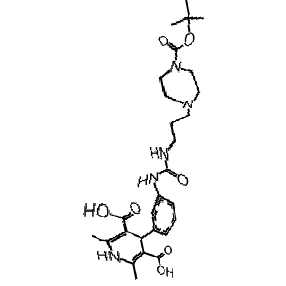 CC1=C(C(=O)O)C(c2cccc(NC(=O)NCCCN3CCN(C(=O)OC(C)(C)C)CC3)c2)C(C(=O)O)=C(C)N1